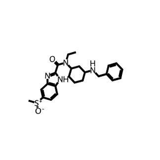 CCN(C(=O)c1nc2cc([S+](C)[O-])ccc2[nH]1)C1CCCC(NCc2ccccc2)C1